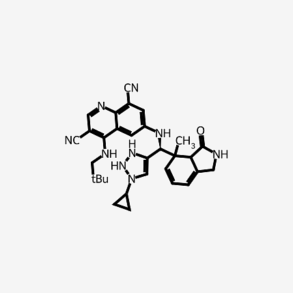 CC(C)(C)CNc1c(C#N)cnc2c(C#N)cc(N[C@H](C3=CN(C4CC4)NN3)C3(C)C=CC=C4CNC(=O)C43)cc12